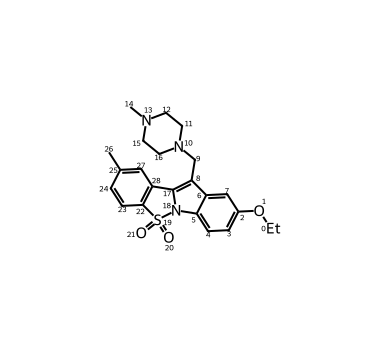 CCOc1ccc2c(c1)c(CN1CCN(C)CC1)c1n2S(=O)(=O)c2ccc(C)cc2-1